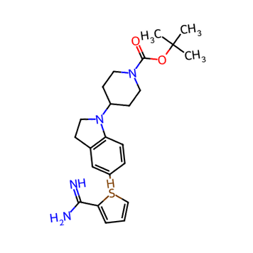 CC(C)(C)OC(=O)N1CCC(N2CCc3cc([SH]4C=CC=C4C(=N)N)ccc32)CC1